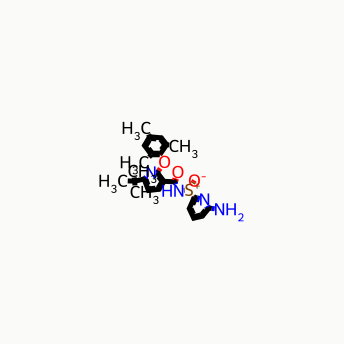 Cc1cc(C)c(Oc2nc(C(C)(C)C)ccc2C(=O)N[S+]([O-])c2cccc(N)n2)c(C)c1